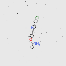 Cc1cc(C#Cc2ccc(-c3ccc(Cl)cc3)cn2)ccc1OCCC(N)C1CCCC1